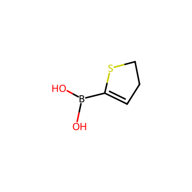 OB(O)C1=CCCS1